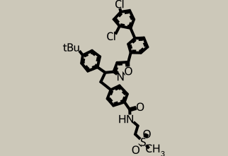 CC(C)(C)c1ccc(C(Cc2ccc(C(=O)NCCS(C)(=O)=O)cc2)c2cc(-c3cccc(-c4ccc(Cl)cc4Cl)c3)on2)cc1